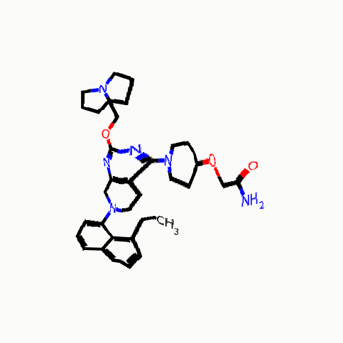 CCc1cccc2cccc(N3CCc4c(nc(OCC56CCCN5CCC6)nc4N4CCC(OCC(N)=O)CC4)C3)c12